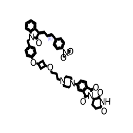 O=C1CCC(N2C(=O)c3ccc(N4CCN(CCCOC5CC(Oc6ccc(CN7C(=O)C(=C/C=C/c8ccc([N+](=O)[O-])cc8)c8ccccc87)cc6)C5)CC4)cc3C2=O)C(=O)N1